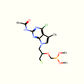 CCOP(COC(CF)Cn1cc(C#N)c2c(Cl)nc(NC(=O)C(C)(C)C)nc21)OCC